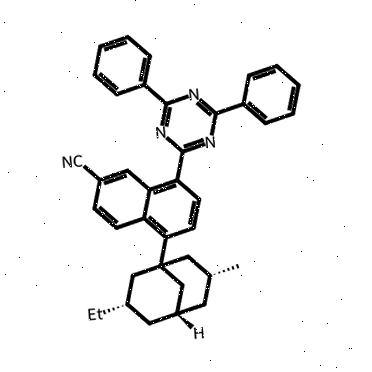 CC[C@H]1C[C@H]2C[C@@H](C)CC(c3ccc(-c4nc(-c5ccccc5)nc(-c5ccccc5)n4)c4cc(C#N)ccc34)(C2)C1